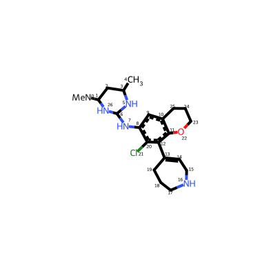 CNC1CC(C)NC(Nc2cc3c(c(C4=CCNCCC4)c2Cl)OCCC3)N1